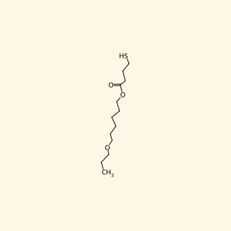 CCCOCCCCCCOC(=O)CCCS